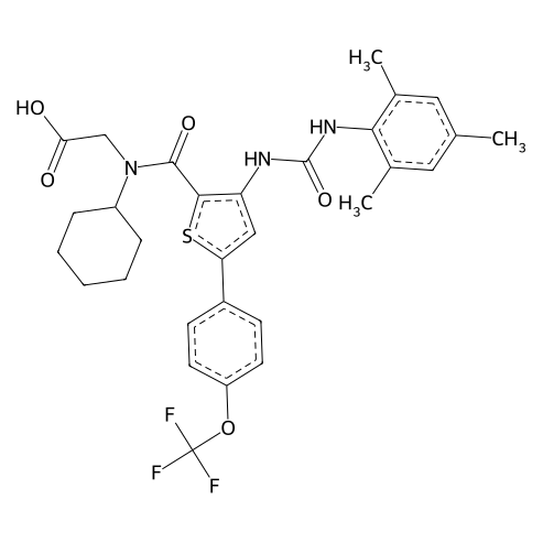 Cc1cc(C)c(NC(=O)Nc2cc(-c3ccc(OC(F)(F)F)cc3)sc2C(=O)N(CC(=O)O)C2CCCCC2)c(C)c1